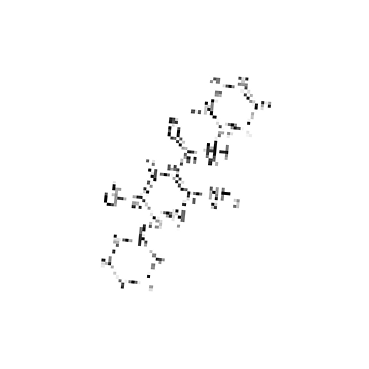 Nc1nc(N2CCCCC2)c(Cl)nc1C(=O)Nc1ccccn1